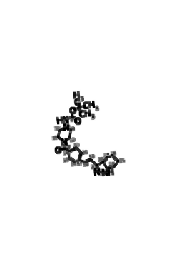 CC(C)(C)OC(=O)NN1CCN(C(=O)c2ccc(C=Cc3n[nH]c4ccccc34)cc2)CC1